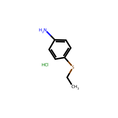 CCSc1ccc(N)cc1.Cl